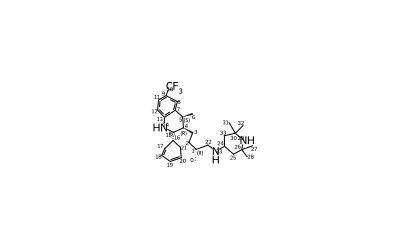 C[C@H](CC[C@@H]1[C@H](C)c2cc(C(F)(F)F)ccc2N[C@H]1C1C=CC=CC1)CNC1CC(C)(C)NC(C)(C)C1